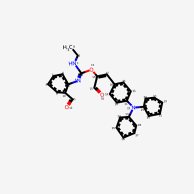 CCN/C(=N\c1ccccc1C=O)O/C(C=O)=C/c1ccc(N(c2ccccc2)c2ccccc2)cc1